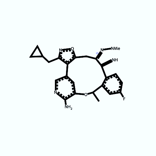 CN/N=C1/Cc2onc(CC3CC3)c2-c2cnc(N)c(c2)OC(C)c2cc(F)ccc2C1=N